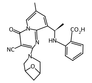 Cc1cc([C@@H](C)Nc2ccccc2C(=O)O)c2nc(N3CC4CC(C3)O4)c(C#N)c(=O)n2c1